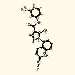 O=C=C1C=Cc2c(cccc2-n2ncc(C(=O)Nc3ccnc(C(F)(F)F)c3)c2C(F)(F)F)N1